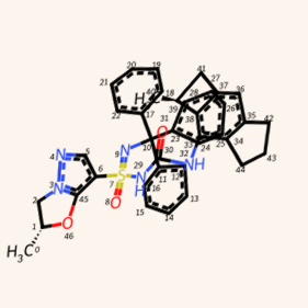 C[C@@H]1Cn2ncc(S(=O)(=NC(c3ccccc3)(c3ccccc3)c3ccccc3)NC(=O)Nc3c4c(cc5c3[C@@H](C)C5)CCC4)c2O1